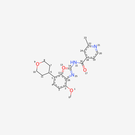 COc1ccc(C2CCOCC2)c2oc(NC(=O)c3ccnc(C)c3)nc12